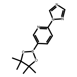 CC1(C)OB(c2ccc(-n3cncn3)nc2)OC1(C)C